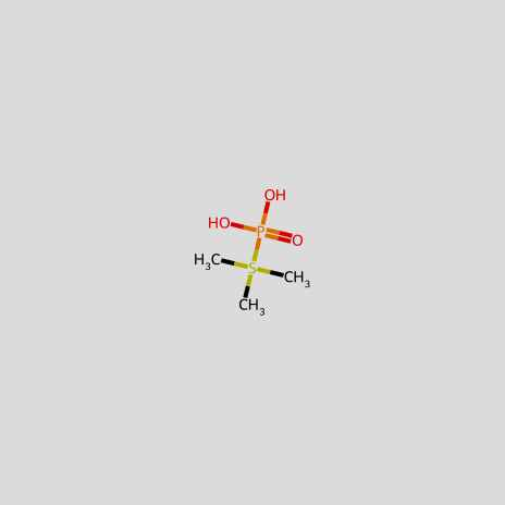 CS(C)(C)P(=O)(O)O